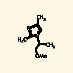 COCC(C)n1cc(C)nc1C